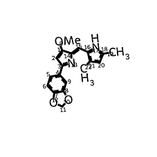 COC1=CC(c2ccc3c(c2)OCO3)=NC1=Cc1[nH]c(C)cc1C